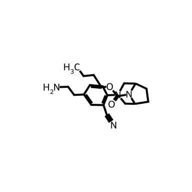 CCCCOC(=O)N1C2CCC1CN(c1ccc(CCN)cc1C#N)C2